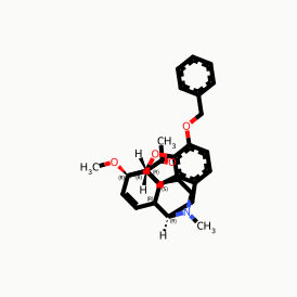 CO[C@]12C=C[C@@]3(C[C@H]1C(C)=O)[C@H]1Cc4ccc(OCc5ccccc5)c5c4[C@@]3(CCN1C)[C@H]2O5